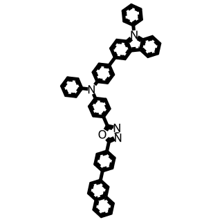 c1ccc(N(c2ccc(-c3ccc4c(c3)c3ccccc3n4-c3ccccc3)cc2)c2ccc(-c3nnc(-c4ccc(-c5ccc6ccccc6c5)cc4)o3)cc2)cc1